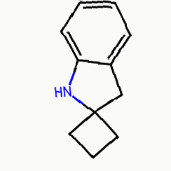 c1ccc2c(c1)CC1(CCC1)N2